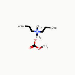 CCCCCCCCCCCC[N+](C)(C)CCCCCCCCCCCC.COC(=O)[O-]